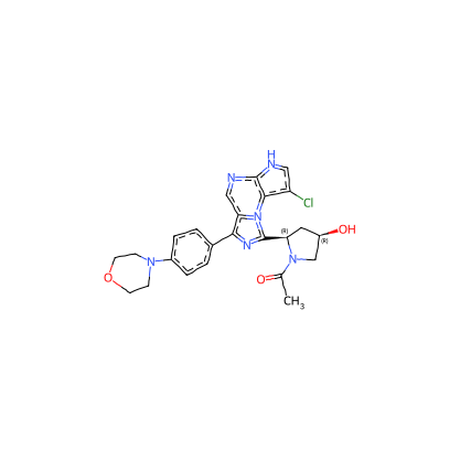 CC(=O)N1C[C@H](O)C[C@@H]1c1nc(-c2ccc(N3CCOCC3)cc2)c2cnc3[nH]cc(Cl)c3n12